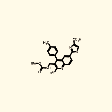 CCCc1nc2ccc(-c3nc(C(=O)O)cs3)cc2c(-c2ccc(C)cc2)c1CNC(=O)OC(C)(C)C